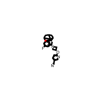 C[C@]12CC3CC(C1)[C@](CC(=O)N1CC(Oc4ccc(C#N)cn4)C1)(c1ccc(F)cc1)C(C3)C2